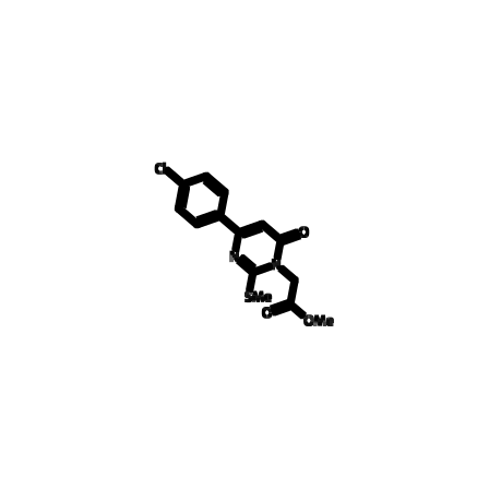 COC(=O)Cn1c(SC)nc(-c2ccc(Cl)cc2)cc1=O